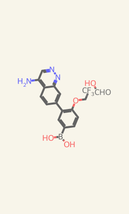 Nc1cnnc2cc(-c3cc(B(O)O)ccc3OCC(F)(F)F)ccc12.O=CO